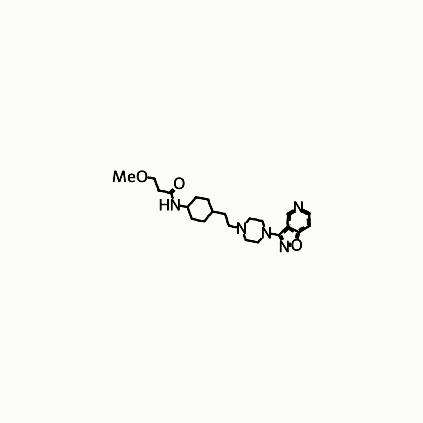 COCCC(=O)NC1CCC(CCN2CCN(c3noc4ccncc34)CC2)CC1